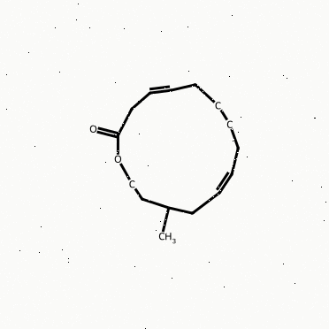 CC1CC=CCCCCC=CCC(=O)OCC1